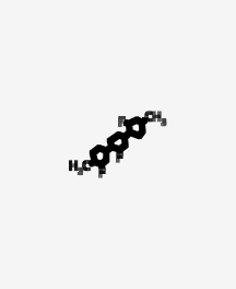 CC1CCC(C2CCC(C3CCC(C)C(F)C3)C(F)C2)C(F)C1